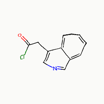 O=C(Cl)Cc1cncc2ccccc12